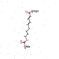 CCCCCCCC(=O)/C=C/C=C/CCCCCC(=O)OC